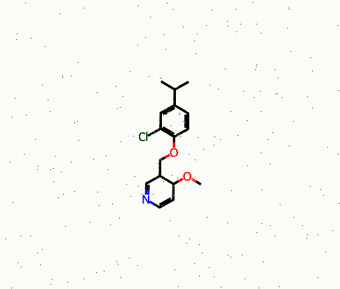 COC1C=CN=CC1COc1ccc(C(C)C)cc1Cl